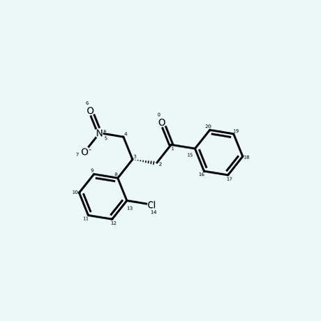 O=C(C[C@@H](C[N+](=O)[O-])c1ccccc1Cl)c1ccccc1